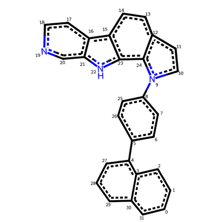 c1ccc2c(-c3ccc(-n4ccc5ccc6c7ccncc7[nH]c6c54)cc3)cccc2c1